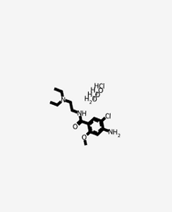 CCN(CC)CCNC(=O)c1cc(Cl)c(N)cc1OC.Cl.O.O.O